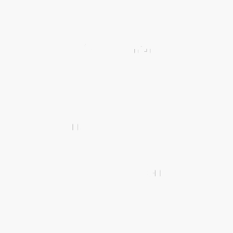 CCCCc1cc(CCC(C)O)c(O)cc1C(C)(C)C